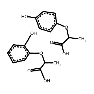 CC(Oc1ccc(O)cc1)C(=O)O.CC(Oc1ccccc1O)C(=O)O